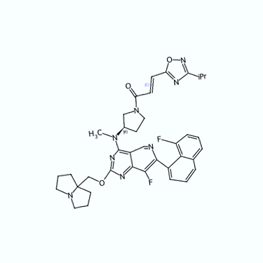 CC(C)c1noc(/C=C/C(=O)N2CC[C@@H](N(C)c3nc(OCC45CCCN4CCC5)nc4c(F)c(-c5cccc6cccc(F)c56)ncc34)C2)n1